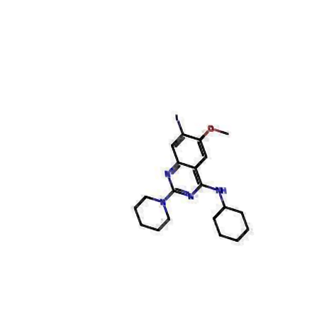 COc1cc2c(NC3CCCCC3)nc(N3CCCCC3)nc2cc1I